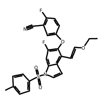 CCOC=Cc1c(Oc2ccc(F)c(C#N)c2)c(F)cc2c1ccn2S(=O)(=O)c1ccc(C)cc1